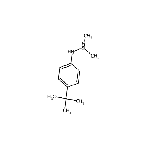 C[SiH](C)Nc1ccc(C(C)(C)C)cc1